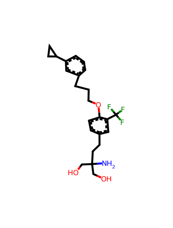 NC(CO)(CO)CCc1ccc(OCCCc2cccc(C3CC3)c2)c(C(F)(F)F)c1